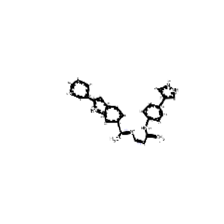 C=C(/C=C\N=C(/C)c1ccc2cc(-c3cccnc3)[nH]c2c1)Nc1ccc(-c2cn[nH]c2)cc1